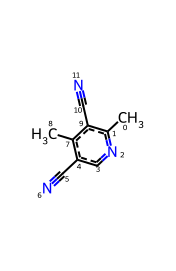 Cc1ncc(C#N)c(C)c1C#N